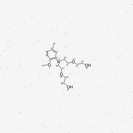 COc1ccc(C)cc1N(CCOCCO)CCOCCO